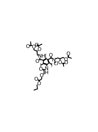 CCCOC(=O)COCC(=O)Nc1c(I)c(C(=O)NCC(COC(C)=O)OC(C)=O)c(I)c(C(=O)N(Cl)CC(COC(C)=O)OC(C)=O)c1I